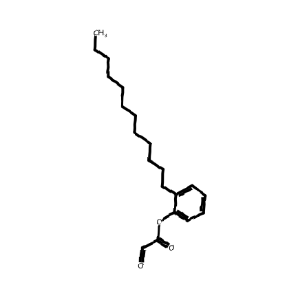 CCCCCCCCCCCCc1ccccc1OC(=O)C=O